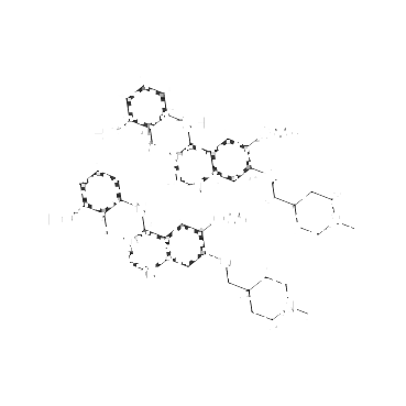 COc1cc2c(Nc3cccc(O)c3C)ncnc2cc1OCC1CCN(C)CC1.COc1cc2c(Nc3cccc(O)c3Cl)ncnc2cc1OCC1CCN(C)CC1